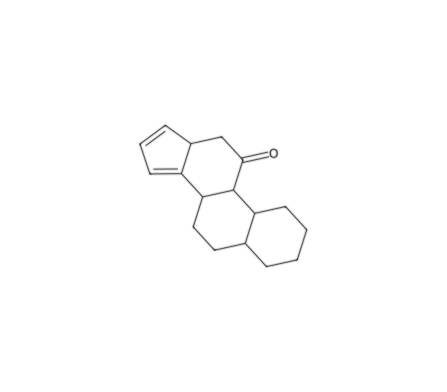 O=C1CC2C=CC=C2C2CCC3CCCCC3C12